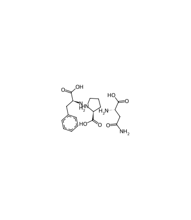 NC(=O)C[C@H](N)C(=O)O.N[C@@H](Cc1ccccc1)C(=O)O.O=C(O)[C@@H]1CCCN1